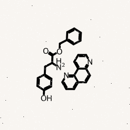 NC(Cc1ccc(O)cc1)C(=O)OCc1ccccc1.c1cnc2c(c1)ccc1ncccc12